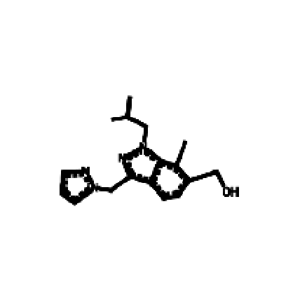 Cc1c(CO)ccc2c(Cn3cccn3)nn(CC(C)C)c12